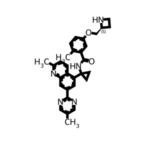 Cc1cnc(-c2cc(C3(NC(=O)c4cc(OC[C@@H]5CCN5)ccc4C)CC3)c3ccc(C)nc3c2)nc1